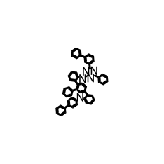 c1ccc(-c2ccc(-n3c4ccccc4c4cc5c(c(-c6ccccc6)c43)c3ccccc3n5-c3nc(-c4ccccc4)nc(-c4cccc(-c5ccccc5)c4)n3)cc2)cc1